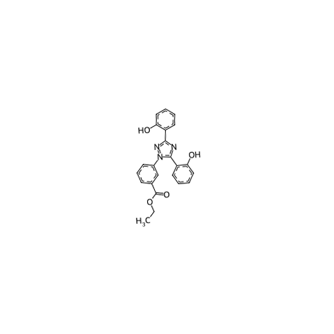 CCOC(=O)c1cccc(-n2nc(-c3ccccc3O)nc2-c2ccccc2O)c1